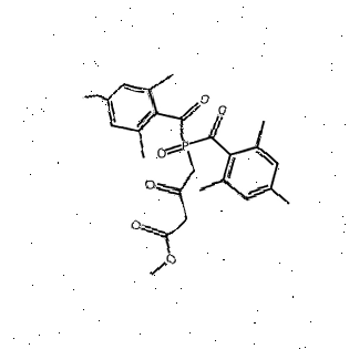 COC(=O)CC(=O)CP(=O)(C(=O)c1c(C)cc(C)cc1C)C(=O)c1c(C)cc(C)cc1C